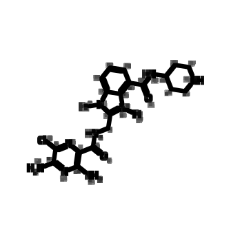 CCn1c(CNC(=O)c2nc(Cl)c(N)nc2N)[n+](CC)c2c(C(=O)NC3CCNCC3)cccc21